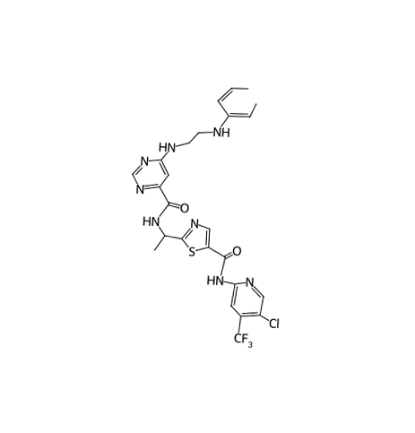 C/C=C\C(=C/C)NCCNc1cc(C(=O)NC(C)c2ncc(C(=O)Nc3cc(C(F)(F)F)c(Cl)cn3)s2)ncn1